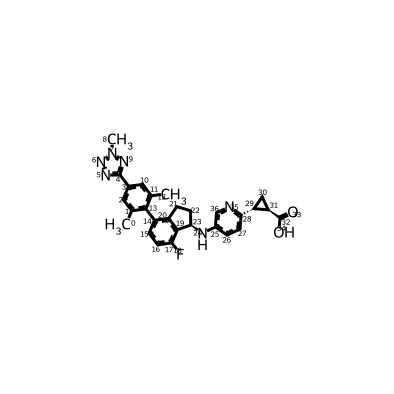 Cc1cc(-c2nnn(C)n2)cc(C)c1-c1ccc(F)c2c1CC[C@H]2Nc1ccc([C@@H]2C[C@H]2C(=O)O)nc1